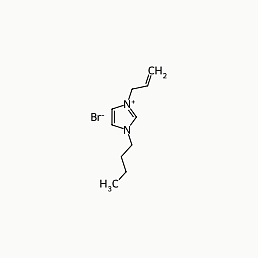 C=CC[n+]1ccn(CCCC)c1.[Br-]